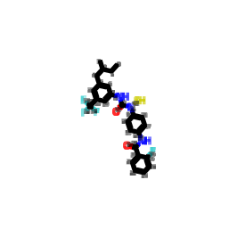 CCC(C)Cc1cc(NC(=O)N(S)c2ccc(NC(=O)c3ccccc3F)cc2)cc(C(F)(F)F)c1